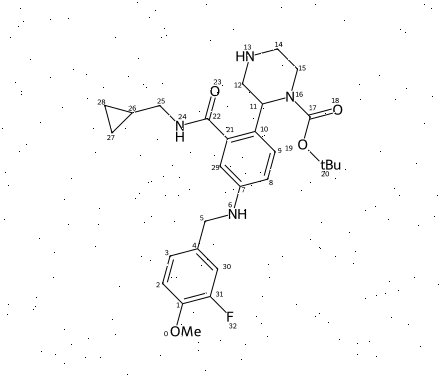 COc1ccc(CNc2ccc(C3CNCCN3C(=O)OC(C)(C)C)c(C(=O)NCC3CC3)c2)cc1F